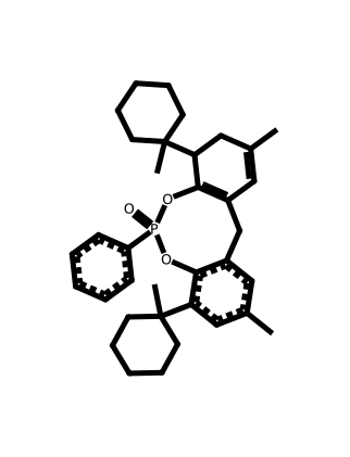 CC1=CC2=C(OP(=O)(c3ccccc3)Oc3c(cc(C)cc3C3(C)CCCCC3)C2)C(C2(C)CCCCC2)C1